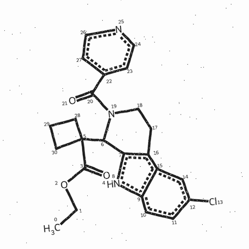 CCOC(=O)C1(C2c3[nH]c4ccc(Cl)cc4c3CCN2C(=O)c2ccncc2)CCC1